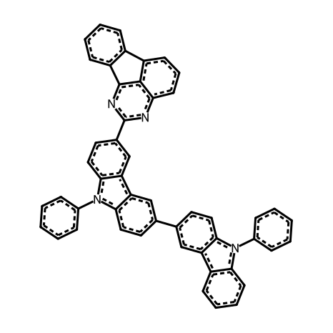 c1ccc(-n2c3ccccc3c3cc(-c4ccc5c(c4)c4cc(-c6nc7c8c(cccc8n6)-c6ccccc6-7)ccc4n5-c4ccccc4)ccc32)cc1